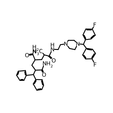 CC(CC(CC(C(N)=O)C(c1ccccc1)c1ccccc1)C(N)=O)C(=O)NCCN1CCN(C(c2ccc(F)cc2)c2ccc(F)cc2)CC1